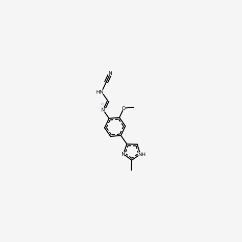 COc1cc(-c2c[nH]c(C)n2)ccc1/N=C/NC#N